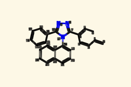 C=C/C=C\C(=C/C)c1nnc(-c2ccccc2)n1-c1cccc2ccccc12